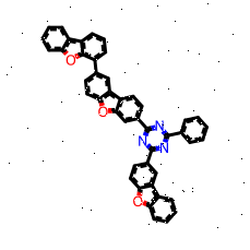 c1ccc(-c2nc(-c3ccc4c(c3)oc3ccc(-c5cccc6c5oc5ccccc56)cc34)nc(-c3ccc4oc5ccccc5c4c3)n2)cc1